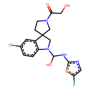 O=C(CO)N1CCC2(C1)CN(C(O)Nc1ncc(F)s1)c1ccc(Cl)cc12